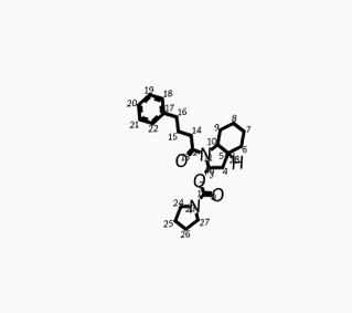 O=C(O[C@@H]1C[C@H]2CCCCC2N1C(=O)CCCc1ccccc1)N1CCCC1